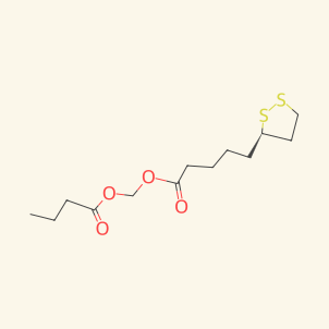 CCCC(=O)OCOC(=O)CCCC[C@@H]1CCSS1